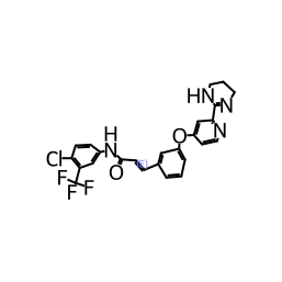 O=C(/C=C/c1cccc(Oc2ccnc(C3=NCCCN3)c2)c1)Nc1ccc(Cl)c(C(F)(F)F)c1